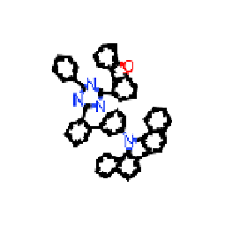 c1ccc(-c2nc(-c3ccccc3-c3cccc(-n4c5c6ccccc6ccc5c5ccc6ccccc6c54)c3)nc(-c3cccc4oc5ccccc5c34)n2)cc1